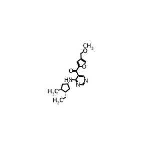 CC[C@H]1C[C@@H](Nc2ncncc2C(=O)c2cc(COC)co2)C[C@@H]1C